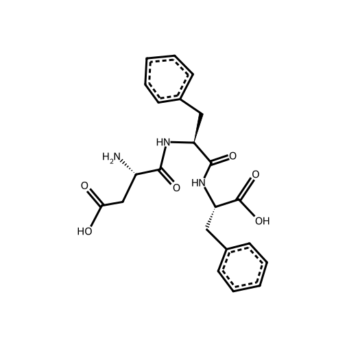 N[C@@H](CC(=O)O)C(=O)N[C@@H](Cc1ccccc1)C(=O)N[C@@H](Cc1ccccc1)C(=O)O